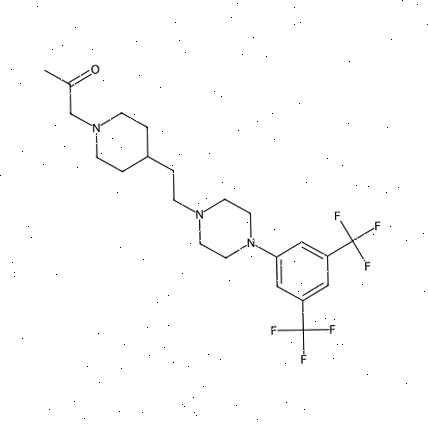 CC(=O)CN1CCC(CCN2CCN(c3cc(C(F)(F)F)cc(C(F)(F)F)c3)CC2)CC1